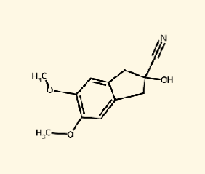 COc1cc2c(cc1OC)CC(O)(C#N)C2